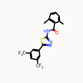 Cc1cccc(C)c1C(=O)Nc1nnc(-c2cc(C(F)(F)F)cc(C(F)(F)F)c2)s1